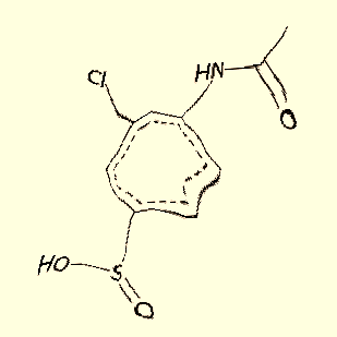 CC(=O)Nc1ccc(S(=O)O)cc1Cl